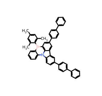 Cc1cc(C)c(B2c3ccccc3-n3c4ccc(-c5ccc(-c6ccccc6)cc5)cc4c4cc(-c5ccc(-c6ccccc6)cc5)cc2c43)c(C)c1